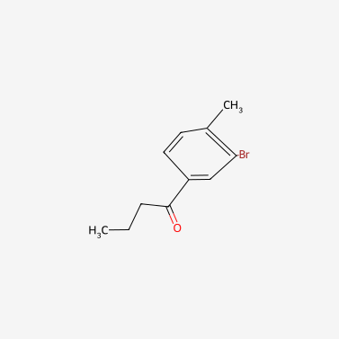 CCCC(=O)c1ccc(C)c(Br)c1